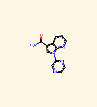 NC(=O)c1cn(-c2cnccn2)c2ncccc12